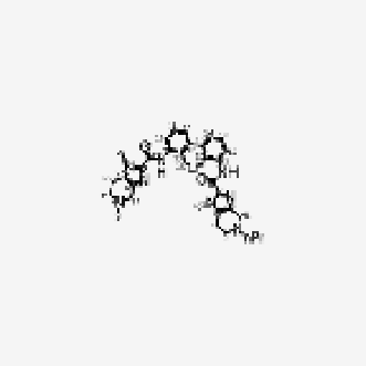 CCCN1CCc2c(nc(C(=O)Nc3cccc(-c4cccc(NC(=O)c5nc6c(n5C)CCN(C)C6)c4C)c3Cl)n2C)C1